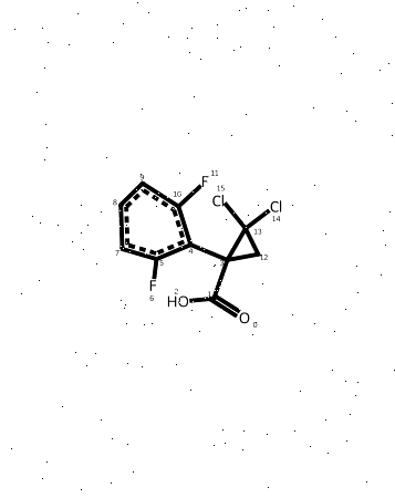 O=C(O)C1(c2c(F)cccc2F)CC1(Cl)Cl